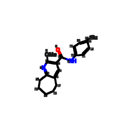 COc1nc2c(cc1C(=O)Nc1ccc(C(C)(C)C)cc1)CCCCC2